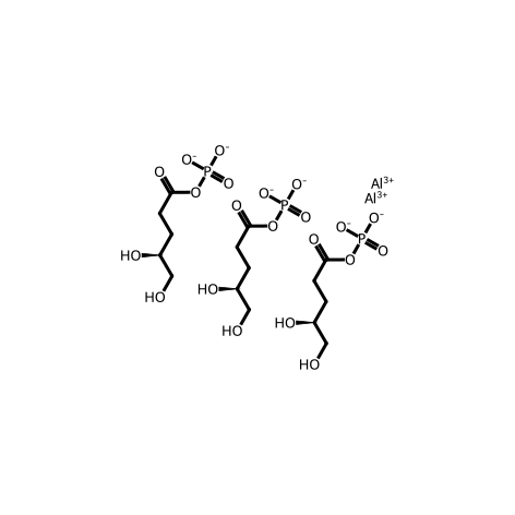 O=C(CC[C@H](O)CO)OP(=O)([O-])[O-].O=C(CC[C@H](O)CO)OP(=O)([O-])[O-].O=C(CC[C@H](O)CO)OP(=O)([O-])[O-].[Al+3].[Al+3]